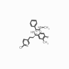 CNC(=O)[C@H](N[C@H](CCc1ccc(Cl)nc1)c1ccc(F)c(C)c1)c1ccccc1